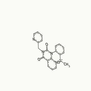 C[S+]([O-])c1ccccc1-n1c(=O)n(Cc2ccccn2)c(=O)c2cccnc21